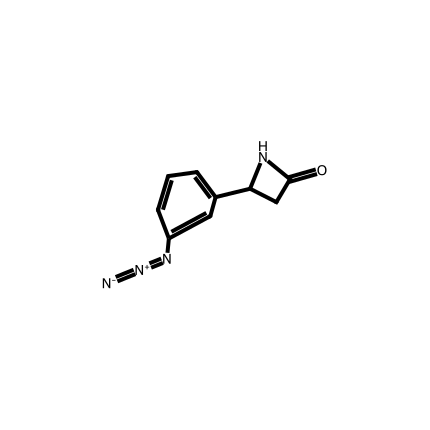 [N-]=[N+]=Nc1cccc(C2CC(=O)N2)c1